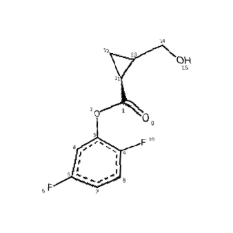 O=C(Oc1cc(F)ccc1F)[C@H]1CC1CO